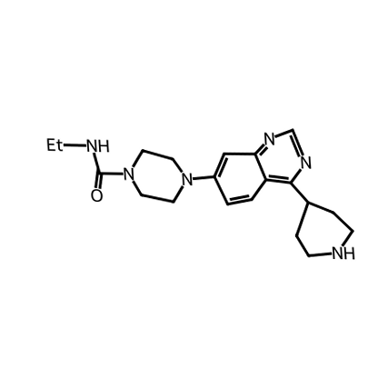 CCNC(=O)N1CCN(c2ccc3c(C4CCNCC4)ncnc3c2)CC1